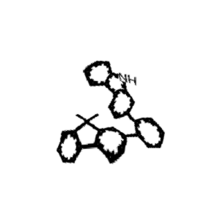 CC1(C)c2ccccc2-c2ccc(-c3ccccc3-c3ccc4c(c3)[nH]c3ccccc34)cc21